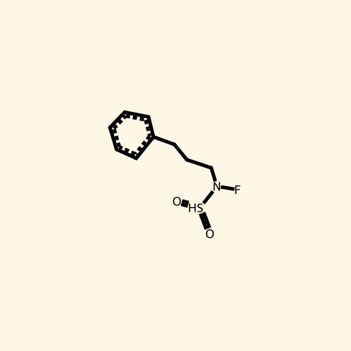 O=[SH](=O)N(F)CCCc1ccccc1